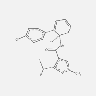 Cn1cc(C(=O)NC2(Cl)CC=CC=C2c2ccc(Cl)cc2)c(C(F)F)n1